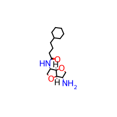 N[C@H]1CO[C@H]2[C@@H]1OC[C@@H]2NC(=O)CCCC1CCCCC1